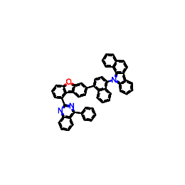 c1ccc(-c2nc(-c3cccc4oc5cc(-c6ccc(-n7c8ccccc8c8ccc9ccccc9c87)c7ccccc67)ccc5c34)nc3ccccc23)cc1